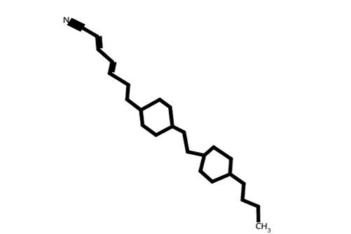 CCCCC1CCC(CCC2CCC(CCC=CC=CC#N)CC2)CC1